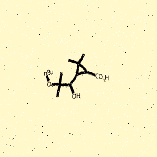 CCCCOC(C)(C)C(O)C1C(C(=O)O)C1(C)C